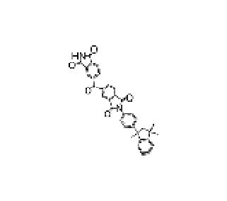 CC1(C)CC(C)(c2ccc(N3C(=O)c4ccc(C(=O)c5ccc6c(c5)C(=O)NC6=O)cc4C3=O)cc2)c2cc#ccc21